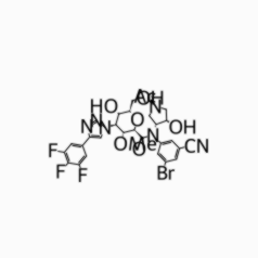 CO[C@@H]1[C@@H](n2cc(-c3cc(F)c(F)c(F)c3)nn2)[C@@H](O)[C@@H](CO)O[C@H]1C(=O)N(c1cc(Br)cc(C#N)c1)[C@@H]1CN(C(C)=O)C[C@H]1O